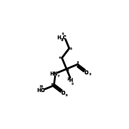 [2H]C(C=O)(CCC)NC(=O)O